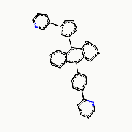 c1ccc(-c2ccc(-c3c4ccccc4c(-c4cccc(-c5cccnc5)c4)c4ccccc34)cc2)nc1